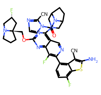 N#Cc1c(N)sc2c(F)ccc(-c3ncc4c(N5CC6CCC(C5)N6C(=O)n5ccnc5C#N)nc(OC[C@@]56CCCN5C[C@H](F)C6)nc4c3F)c12